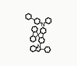 c1ccc(-c2ccc(N(c3ccccc3)c3ccc4c(c3)C3(c5ccccc5-c5ccccc53)c3cc(-n5c(-c6ccccc6)cc6ccccc65)ccc3-4)cc2)cc1